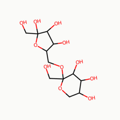 OCC1(O)OC(COC2(CO)OCC(O)C(O)C2O)C(O)C1O